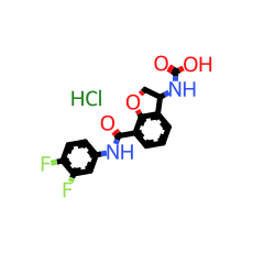 Cl.O=C(O)NC1COc2c(C(=O)Nc3ccc(F)c(F)c3)cccc21